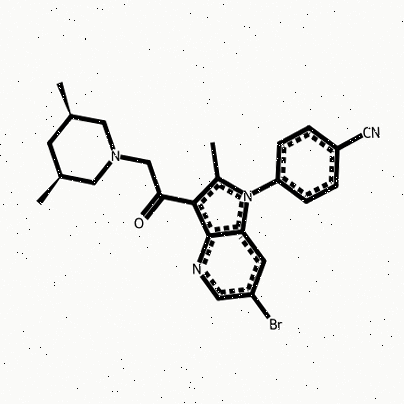 Cc1c(C(=O)CN2C[C@H](C)C[C@H](C)C2)c2ncc(Br)cc2n1-c1ccc(C#N)cc1